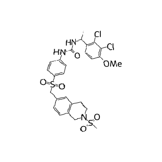 COc1ccc(C(C)NC(=O)Nc2ccc(S(=O)(=O)Cc3ccc4c(c3)CCN(S(C)(=O)=O)C4)cc2)c(Cl)c1Cl